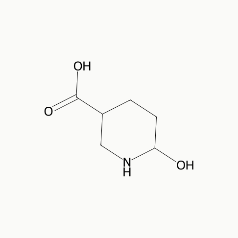 O=C(O)C1CCC(O)NC1